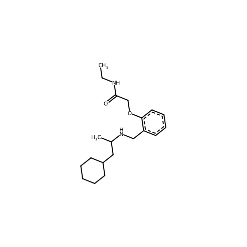 CCNC(=O)COc1ccccc1CNC(C)CC1CCCCC1